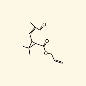 C=CCOC(=O)C1C(C=C(C)C=O)C1(C)C